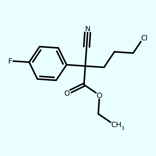 CCOC(=O)C(C#N)(CCCCl)c1ccc(F)cc1